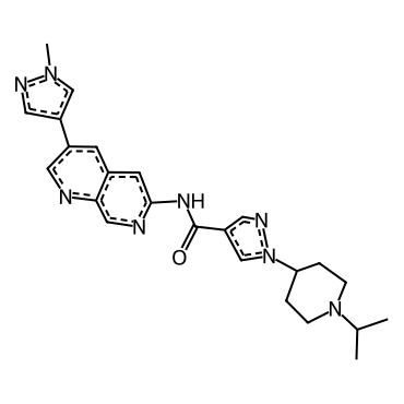 CC(C)N1CCC(n2cc(C(=O)Nc3cc4cc(-c5cnn(C)c5)cnc4cn3)cn2)CC1